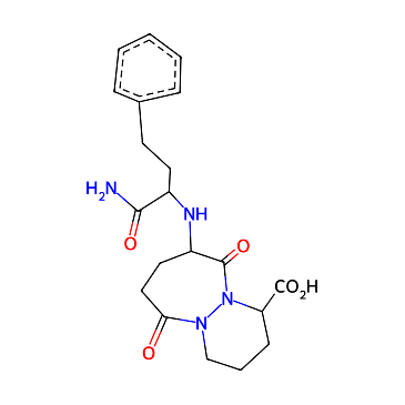 NC(=O)C(CCc1ccccc1)NC1CCC(=O)N2CCCC(C(=O)O)N2C1=O